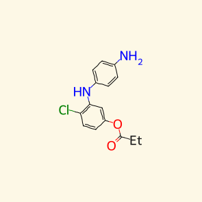 CCC(=O)Oc1ccc(Cl)c(Nc2ccc(N)cc2)c1